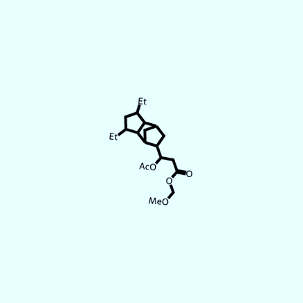 CCC1CC(CC)C2C3CC(CC3C(CC(=O)OCOC)OC(C)=O)C12